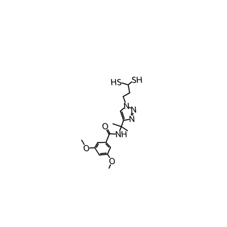 COc1cc(OC)cc(C(=O)NC(C)(C)c2cn(CCC(S)S)nn2)c1